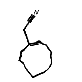 N#CCC1=CCCCCCCCC1